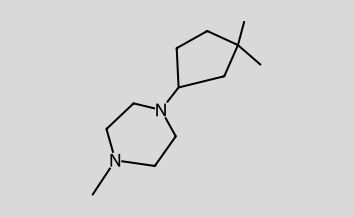 CN1CCN(C2CCC(C)(C)C2)CC1